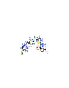 CC(=O)Nc1ncc(CN2CC[C@H](Cc3ncc(F)cn3)C2)s1